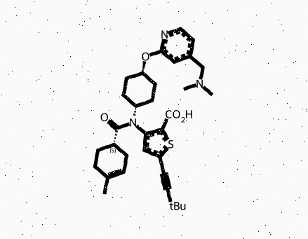 CC1=CC[C@@H](C(=O)N(c2cc(C#CC(C)(C)C)sc2C(=O)O)[C@H]2CC[C@H](Oc3cc(CN(C)C)ccn3)CC2)CC1